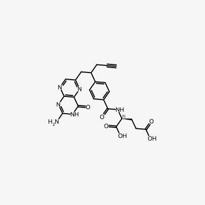 C#CCC(Cc1cnc2nc(N)[nH]c(=O)c2n1)c1ccc(C(=O)N[C@@H](CCC(=O)O)C(=O)O)cc1